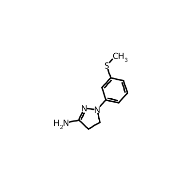 CSc1cccc(N2CCC(N)=N2)c1